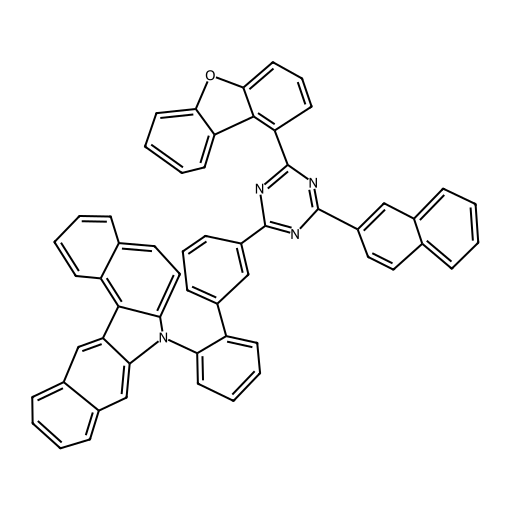 c1cc(-c2nc(-c3ccc4ccccc4c3)nc(-c3cccc4oc5ccccc5c34)n2)cc(-c2ccccc2-n2c3cc4ccccc4cc3c3c4ccccc4ccc32)c1